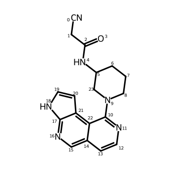 N#CCC(=O)NC1CCCN(c2nccc3cnc4[nH]ccc4c23)C1